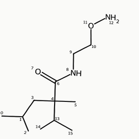 CC(C)CC(C)(C(=O)NCCON)C(C)C